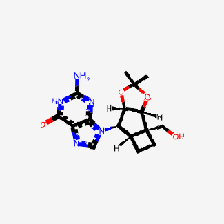 CC1(C)O[C@H]2[C@H](n3cnc4c(=O)[nH]c(N)nc43)[C@H]3CC[C@@]3(CO)[C@H]2O1